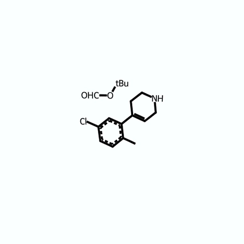 CC(C)(C)OC=O.Cc1ccc(Cl)cc1C1=CCNCC1